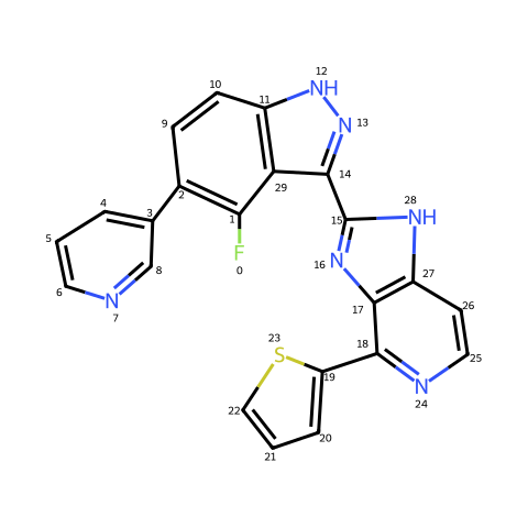 Fc1c(-c2cccnc2)ccc2[nH]nc(-c3nc4c(-c5cccs5)nccc4[nH]3)c12